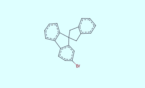 Brc1ccc2c(c1)C1(Cc3ccccc3C1)c1ccccc1-2